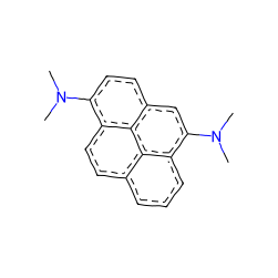 CN(C)c1cc2ccc(N(C)C)c3ccc4cccc1c4c23